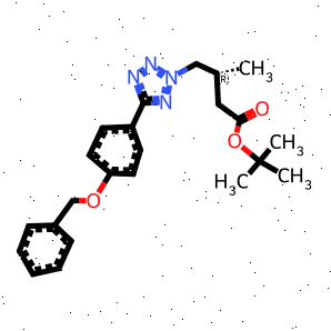 C[C@H](CC(=O)OC(C)(C)C)Cn1nnc(-c2ccc(OCc3ccccc3)cc2)n1